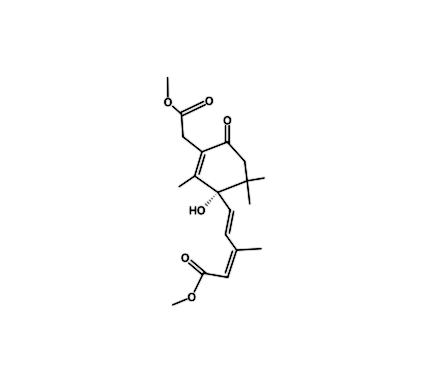 COC(=O)/C=C(C)\C=C\[C@@]1(O)C(C)=C(CC(=O)OC)C(=O)CC1(C)C